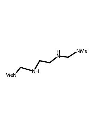 CNCNCCNCNC